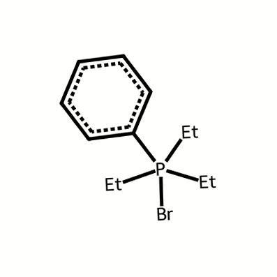 CCP(Br)(CC)(CC)c1ccccc1